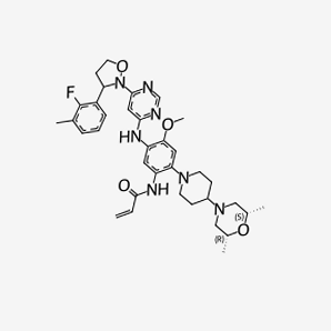 C=CC(=O)Nc1cc(Nc2cc(N3OCCC3c3cccc(C)c3F)ncn2)c(OC)cc1N1CCC(N2C[C@@H](C)O[C@@H](C)C2)CC1